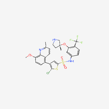 COc1ccc(-c2cc(S(=O)(=O)Nc3ccc(C(F)(F)F)c(O[C@]4(C)CCNC4)c3)sc2Cl)c2ccc(C)nc12